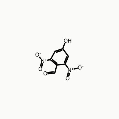 O=Cc1c([N+](=O)[O-])cc(O)cc1[N+](=O)[O-]